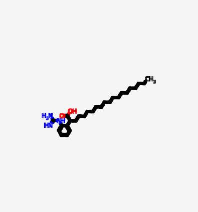 CCCCCCCCCCCCCCCCCCC(C(=O)O)c1ccccc1NC(=N)N